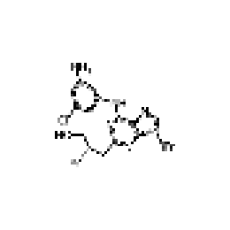 CC(C)[C@H](CO)Cc1nc(Nc2cc(N)cc(Cl)c2)c2ncn(C(C)C)c2n1